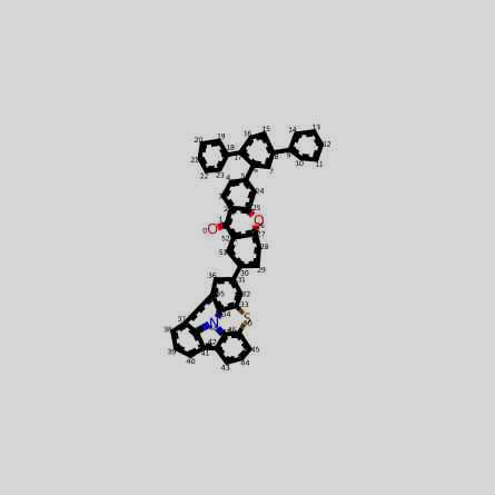 O=c1c2ccc(-c3cc(-c4ccccc4)ccc3-c3ccccc3)cc2oc2ccc(-c3cc4c5c(c3)c3cccc6c7cccc(c7n5c63)S4)cc12